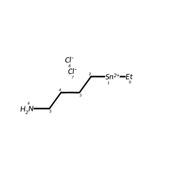 C[CH2][Sn+2][CH2]CCCN.[Cl-].[Cl-]